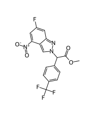 COC(=O)C(c1ccc(C(F)(F)F)cc1)n1cc2c([N+](=O)[O-])cc(F)cc2n1